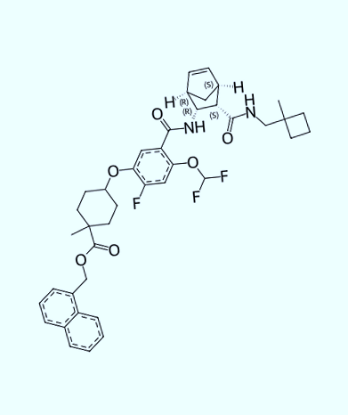 CC1(CNC(=O)[C@@H]2[C@H](NC(=O)c3cc(OC4CCC(C)(C(=O)OCc5cccc6ccccc56)CC4)c(F)cc3OC(F)F)[C@H]3C=C[C@@H]2C3)CCC1